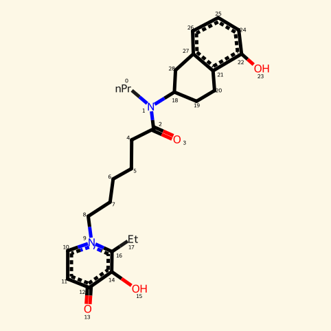 CCCN(C(=O)CCCCCn1ccc(=O)c(O)c1CC)C1CCc2c(O)cccc2C1